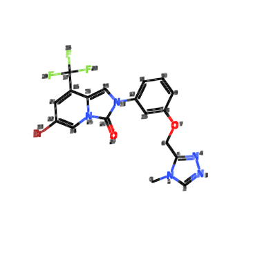 Cn1cnnc1COc1cccc(-n2cc3c(C(F)(F)F)cc(Br)cn3c2=O)c1